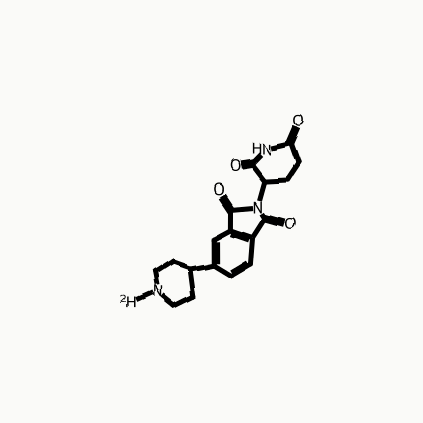 [2H]N1CCC(c2ccc3c(c2)C(=O)N(C2CCC(=O)NC2=O)C3=O)CC1